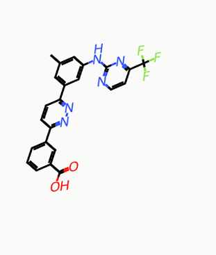 Cc1cc(Nc2nccc(C(F)(F)F)n2)cc(-c2ccc(-c3cccc(C(=O)O)c3)nn2)c1